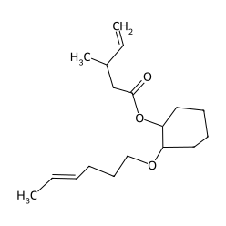 C=CC(C)CC(=O)OC1CCCCC1OCCCC=CC